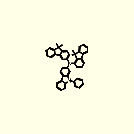 CC1(C)c2ccccc2-c2cc(N(c3ccc4c5ccccc5n(-c5ccccc5)c4c3)c3cccc4c3C(C)(C)c3ccccc3-4)ccc21